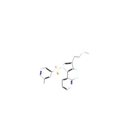 Cc1cncc(S(=O)(=O)n2cc(CCNC(=O)O)c(F)c2-c2cccnc2F)c1